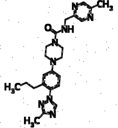 CCCc1cc(N2CCN(C(=O)NCc3cnc(C)cn3)CC2)ccc1-n1cnc(C)n1